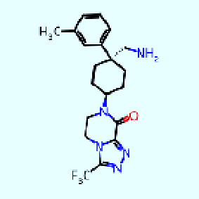 Cc1cccc([C@]2(CN)CC[C@H](N3CCn4c(nnc4C(F)(F)F)C3=O)CC2)c1